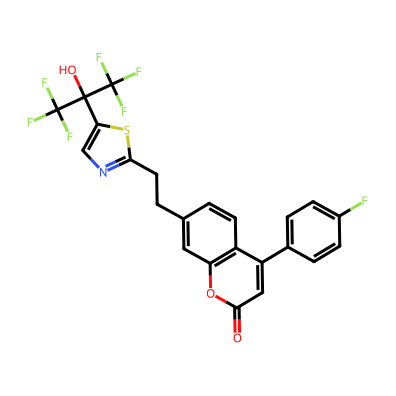 O=c1cc(-c2ccc(F)cc2)c2ccc(CCc3ncc(C(O)(C(F)(F)F)C(F)(F)F)s3)cc2o1